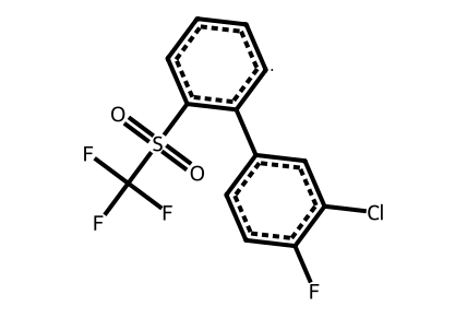 O=S(=O)(c1ccc[c]c1-c1ccc(F)c(Cl)c1)C(F)(F)F